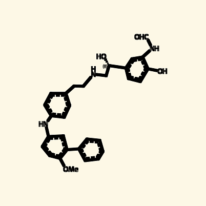 COc1ccc(Nc2ccc(CCNC[C@H](O)c3ccc(O)c(NC=O)c3)cc2)cc1-c1ccccc1